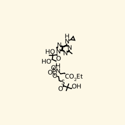 CCOC(=O)CCNP(=O)(OCCSC(=O)C(C)(C)CO)OC[C@H]1O[C@@H](n2cnc3c(NC4CC4)nc(C)nc32)C(C)(O)[C@H]1O